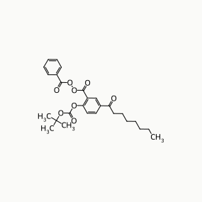 CCCCCCCC(=O)c1ccc(OC(=O)OC(C)(C)C)c(C(=O)OOC(=O)c2ccccc2)c1